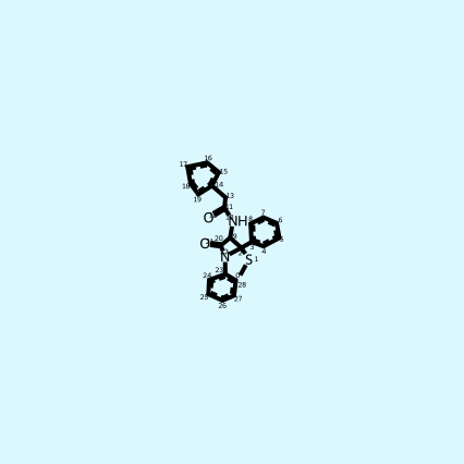 CSC1(c2ccccc2)C(NC(=O)Cc2ccccc2)C(=O)N1c1ccccc1